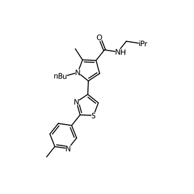 CCCCn1c(-c2csc(-c3ccc(C)nc3)n2)cc(C(=O)NCC(C)C)c1C